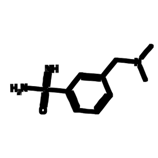 CN(C)Cc1cccc(S(=N)(N)=O)c1